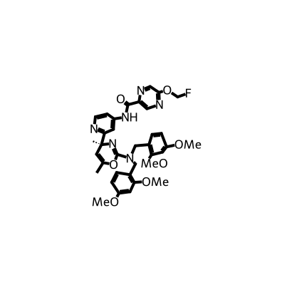 COc1ccc(CN(Cc2ccc(OC)cc2OC)C2=N[C@](C)(c3cc(NC(=O)c4cnc(OCF)cn4)ccn3)C=C(C)O2)c(OC)c1